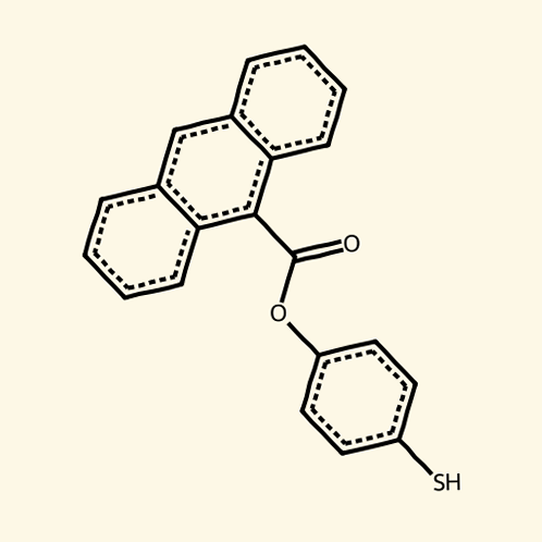 O=C(Oc1ccc(S)cc1)c1c2ccccc2cc2ccccc12